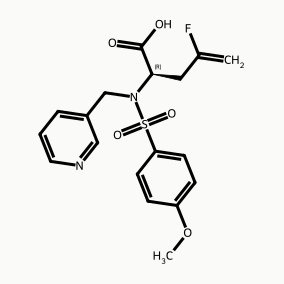 C=C(F)C[C@H](C(=O)O)N(Cc1cccnc1)S(=O)(=O)c1ccc(OC)cc1